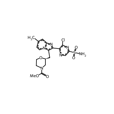 COC(=O)N1CCO[C@@H](Cc2c(-c3ncc(S(N)(=O)=O)nc3Cl)nc3cc(C)ccn23)C1